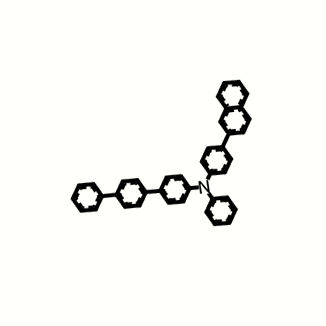 c1ccc(-c2ccc(-c3ccc(N(c4ccccc4)c4ccc(-c5ccc6ccccc6c5)cc4)cc3)cc2)cc1